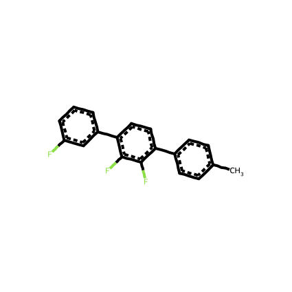 Cc1ccc(-c2ccc(-c3cccc(F)c3)c(F)c2F)cc1